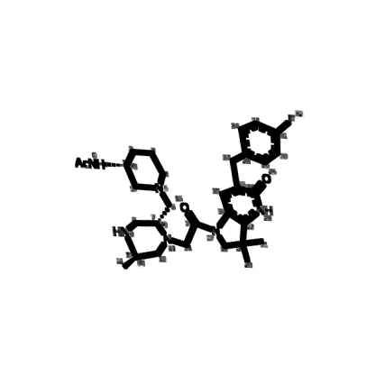 CC(=O)N[C@@H]1CCCN(C[C@H]2CN[C@H](C)CN2CC(=O)N2CC(C)(C)c3[nH]c(=O)c(Cc4ccc(F)cc4)cc32)C1